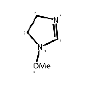 CON1C=NCC1